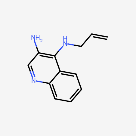 C=CCNc1c(N)cnc2ccccc12